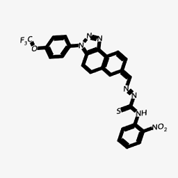 O=[N+]([O-])c1ccccc1NC(=S)N=NC=C1C=CC2=C(CCc3c2nnn3-c2ccc(OC(F)(F)F)cc2)C1